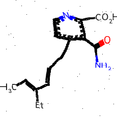 CC=C(C=CCc1ccnc(C(=O)O)c1C(N)=O)CC